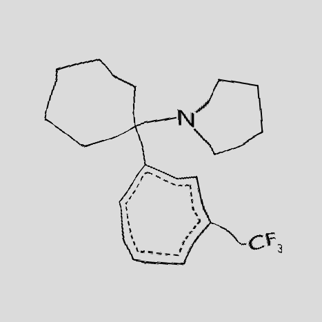 FC(F)(F)c1cccc(C2(N3CCCC3)CCCCC2)c1